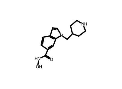 O=C(NO)c1ccc2ccn(CC3CCNCC3)c2c1